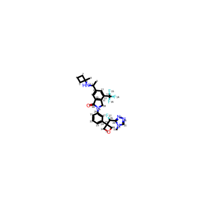 CC(NC1(C)CCC1)c1cc2c(c(C(F)(F)F)c1)CN(c1cccc(C3(C(F)c4nncn4C)COC3)c1)C2=O